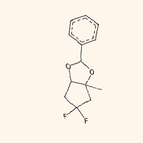 CC12CC(F)(F)CC1OC(c1ccccc1)O2